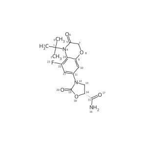 CC(C)(C)N1C(=O)COc2cc(N3C[C@H](C(N)=O)OC3=O)cc(F)c21